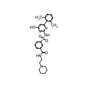 Cc1cccc(C)c1-c1cc(O)nc(NS(=O)(=O)c2cccc(C(=O)NCCN3CCCCC3)c2)n1